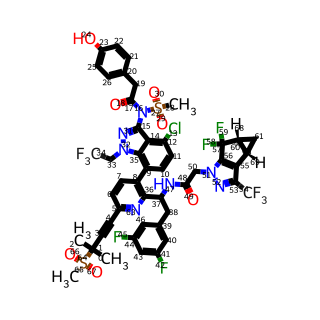 CC(C)(C#Cc1ccc(-c2ccc(Cl)c3c(N(C(=O)Cc4ccc(O)cc4)S(C)(=O)=O)nn(CC(F)(F)F)c23)c(C(Cc2cc(F)cc(F)c2)NC(=O)Cn2nc(C(F)(F)F)c3c2C(F)(F)[C@@H]2C[C@H]32)n1)S(C)(=O)=O